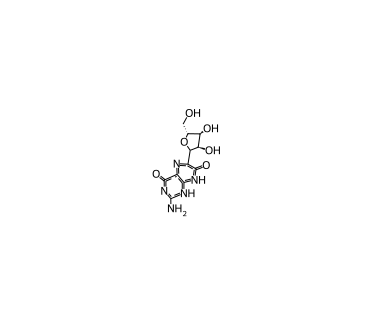 Nc1nc(=O)c2nc(C3O[C@H](CO)[C@@H](O)[C@H]3O)c(=O)[nH]c2[nH]1